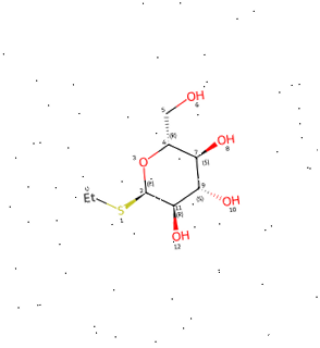 CCS[C@H]1O[C@H](CO)[C@@H](O)[C@H](O)[C@H]1O